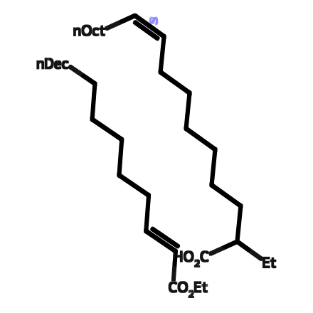 CCCCCCCC/C=C\CCCCCCC(CC)C(=O)O.CCCCCCCCCCCCCCCC=CC(=O)OCC